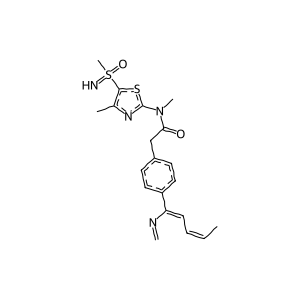 C=N/C(=C\C=C/C)c1ccc(CC(=O)N(C)c2nc(C)c(S(C)(=N)=O)s2)cc1